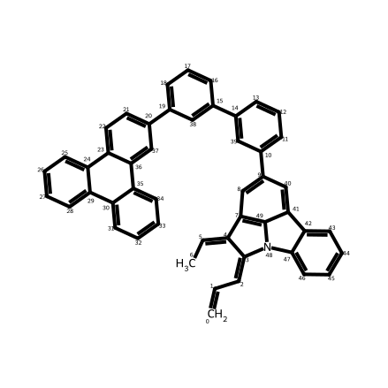 C=C/C=c1\c(=C/C)c2cc(-c3cccc(-c4cccc(-c5ccc6c7ccccc7c7ccccc7c6c5)c4)c3)cc3c4ccccc4n1c23